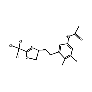 CC(=O)Nc1cc(F)c(C)c(CC[C@H]2COC(C(Cl)(Cl)Cl)=N2)c1